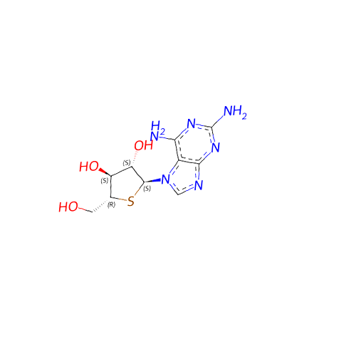 Nc1nc(N)c2c(ncn2[C@H]2S[C@H](CO)[C@@H](O)[C@@H]2O)n1